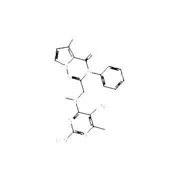 CCN(c1nc(N)nc(C)c1C#N)[C@@H](C)c1nn2ccc(C(F)(F)F)c2c(=O)n1-c1ccccc1